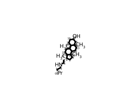 CC(C)CCNCC[C@H]1CC[C@@]2(C)C3CC[C@]4(C)C[C@@H](O)CCC4[C@@]3(C)CC[C@]12C